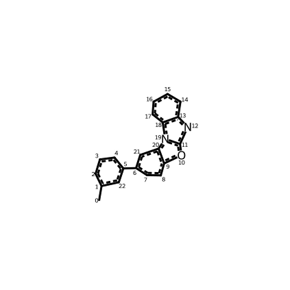 Cc1cccc(-c2ccc3oc4nc5ccccc5n4c3c2)c1